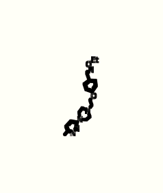 CCON=Cc1ccc(OCCN2CCN(c3ccc(C)nn3)CC2)cc1